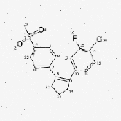 CS(=O)(=O)c1ccc(C2=C(c3ccc(Cl)c(F)c3)CCC2)cc1